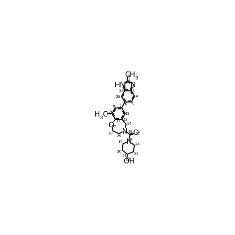 Cc1nc2ccc(-c3cc(C)c4c(c3)CN(C(=O)N3CCC(O)CC3)CCO4)cc2[nH]1